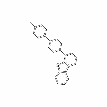 Cc1ccc(-c2ccc(-c3cccc4c3sc3ccccc34)cc2)cc1